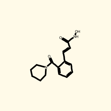 O=C(/C=C/c1ccccc1C(=O)N1CCCCC1)NO